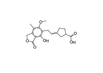 COc1c(C)c2c(c(O)c1CC=C1CCC(C(=O)O)C1)C(=O)OC2